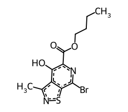 CCCCOC(=O)c1nc(Br)c2snc(C)c2c1O